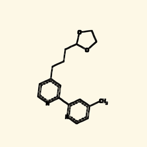 Cc1ccnc(-c2cc(CCCC3OCCO3)ccn2)c1